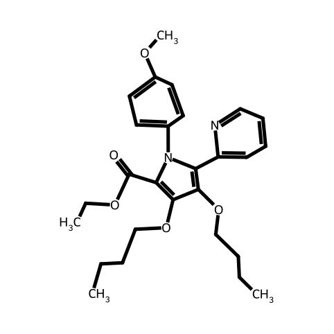 CCCCOc1c(OCCCC)c(-c2ccccn2)n(-c2ccc(OC)cc2)c1C(=O)OCC